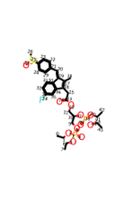 CCOP(=O)(OCC)OCC(COC(=O)CC1=C(C)/C(=C/c2ccc([S+](C)[O-])cc2)c2ccc(F)cc21)OP(=O)(OCC)OCC